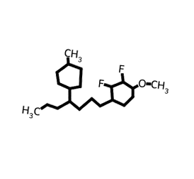 CCCC(CCCC1CCC(OC)C(F)C1F)C1CCC(C)CC1